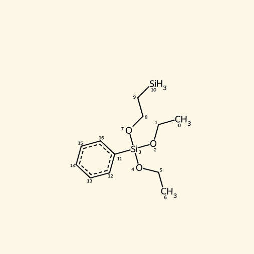 CCO[Si](OCC)(OCC[SiH3])c1ccccc1